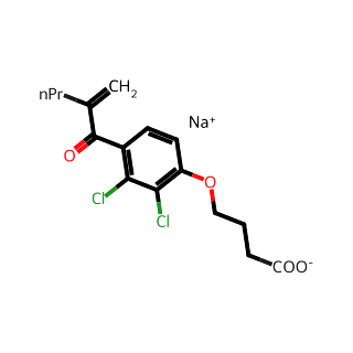 C=C(CCC)C(=O)c1ccc(OCCCC(=O)[O-])c(Cl)c1Cl.[Na+]